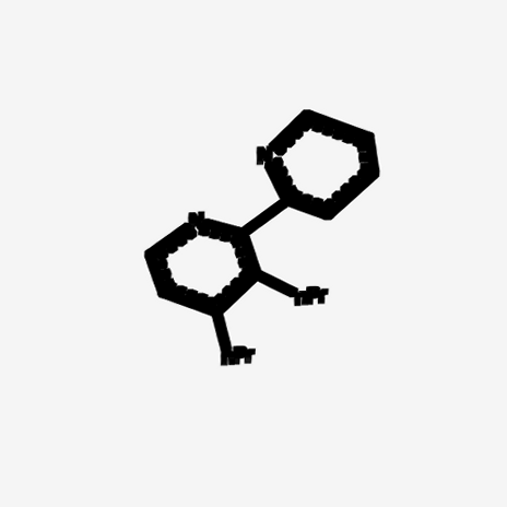 CCCc1ccnc(-c2ccccn2)c1CCC